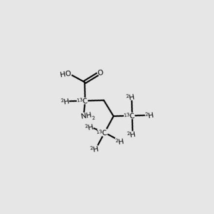 [2H][13C](N)(CC([13C]([2H])([2H])[2H])[13C]([2H])([2H])[2H])C(=O)O